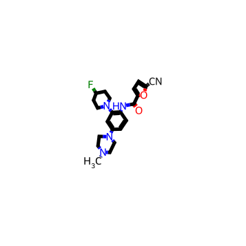 CN1CCN(c2ccc(NC(=O)c3ccc(C#N)o3)c(N3CCC(F)CC3)c2)CC1